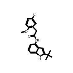 COc1ccc(Cl)cc1CC(=O)Nc1cccc2[nH]c(C(C)(C)C)cc12